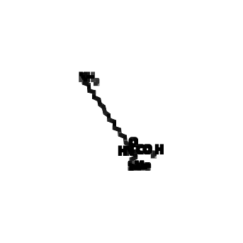 CSCCC(NC(=O)CCCCCCCCCCCCCCCCCN)C(=O)O